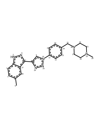 Cc1ccc2[nH]nc(-c3cn(-c4ccc(CN5CCN(C)CC5)cc4)nn3)c2c1